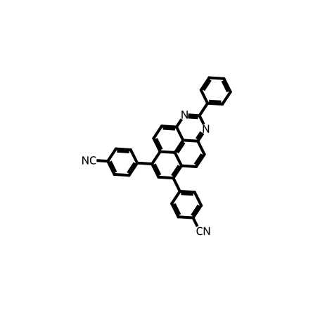 N#Cc1ccc(-c2cc(-c3ccc(C#N)cc3)c3ccc4nc(-c5ccccc5)nc5ccc2c3c54)cc1